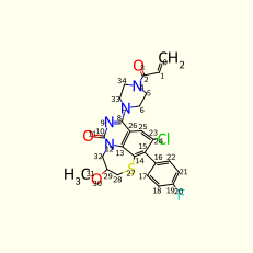 C=CC(=O)N1CCN(c2nc(=O)n3c4c(c(-c5ccc(F)cc5)c(Cl)cc24)SCC(OC)C3)CC1